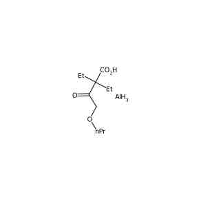 CCCOCC(=O)C(CC)(CC)C(=O)O.[AlH3]